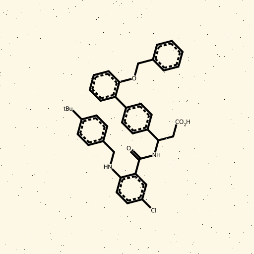 CC(C)(C)c1ccc(CNc2ccc(Cl)cc2C(=O)NC(CC(=O)O)c2ccc(-c3ccccc3OCc3ccccc3)cc2)cc1